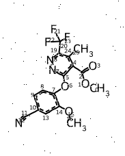 COC(=O)c1c(Oc2ccc(C#N)cc2OC)nnc(C(F)(F)F)c1C